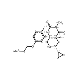 COCCOc1ccc(F)c([C@]23CO[C@@H](C4CC4)C[C@H]2C(=O)N(C)C(=N)N3)c1